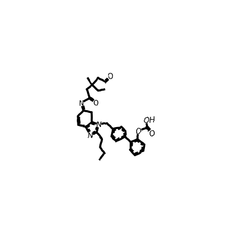 CCCCc1nc2c(n1Cc1ccc(-c3ccccc3OC(=O)O)cc1)CC(=NC(=O)CC(C)(CC)CC=O)C=C2